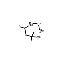 CC(O)CC(C)(C)O.CCCCOCCCC